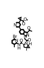 COC(=O)C1(c2cncc(-c3ccc4c(c3)c(C(C)=O)nn4CC(=O)N3[C@H](C(=O)Nc4nc(Br)ccc4C)C[C@@]4(C)C[C@@H]34)c2)CC1